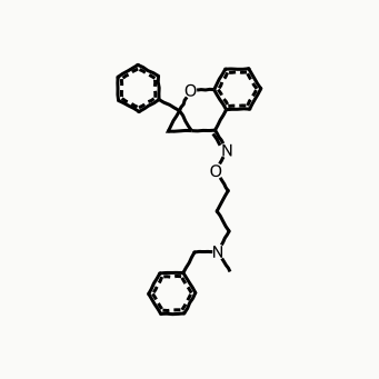 CN(CCCON=C1c2ccccc2OC2(c3ccccc3)CC12)Cc1ccccc1